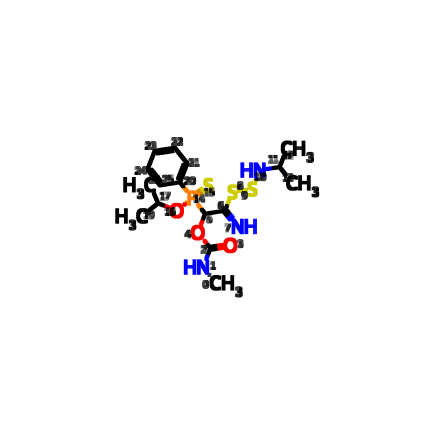 CNC(=O)OC(C(=N)SSNC(C)C)P(=S)(OC(C)C)c1ccccc1